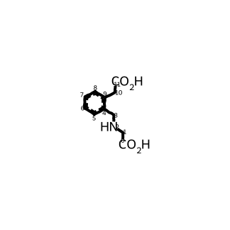 O=C(O)CNCc1ccccc1CC(=O)O